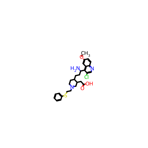 COc1ccc2ncc(Cl)c([C@H](N)CCC3CCN(CCSc4ccccc4)CC3CC(=O)O)c2c1